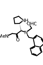 CNCC(=O)C([C@@H]1CCCN1)N(C[C]=O)Cc1cccc2ccccc12